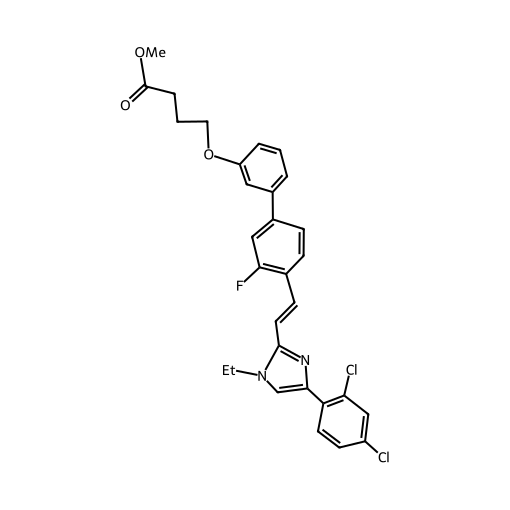 CCn1cc(-c2ccc(Cl)cc2Cl)nc1C=Cc1ccc(-c2cccc(OCCCC(=O)OC)c2)cc1F